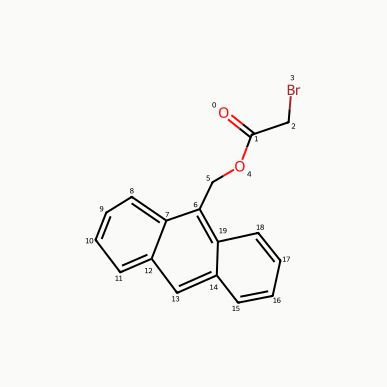 O=C(CBr)OCc1c2ccccc2cc2ccccc12